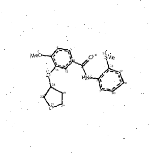 COc1ccc(C(=O)Nc2ccccc2SC)cc1OC1CCOC1